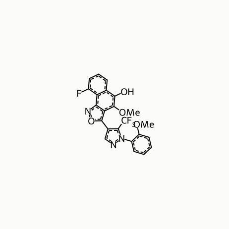 COc1ccccc1-n1ncc(-c2onc3c2c(OC)c(O)c2cccc(F)c23)c1C(F)(F)F